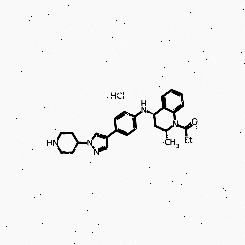 CCC(=O)N1c2ccccc2[C@H](Nc2ccc(-c3cnn(C4CCNCC4)c3)cc2)C[C@@H]1C.Cl